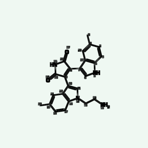 Cc1ccc2[nH]cc(C3=C(c4cn(CCN)c5ccc(C)cc45)C(=O)NC3=O)c2c1